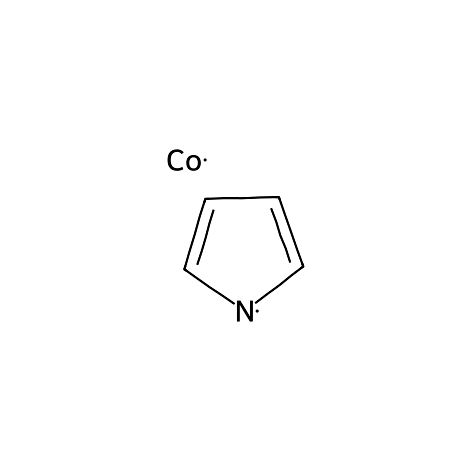 C1=C[N]C=C1.[Co]